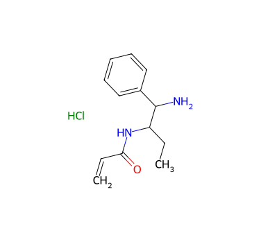 C=CC(=O)NC(CC)C(N)c1ccccc1.Cl